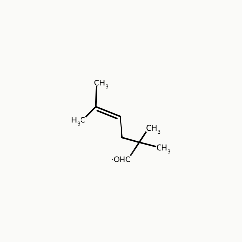 CC(C)=CCC(C)(C)[C]=O